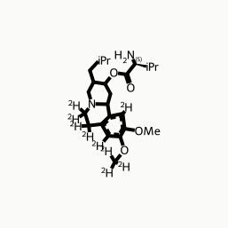 [2H]c1c(OC)c(OC([2H])([2H])[2H])c([2H])c2c1C1CC(OC(=O)[C@@H](N)C(C)C)C(CC(C)C)CN1C([2H])([2H])C2([2H])[2H]